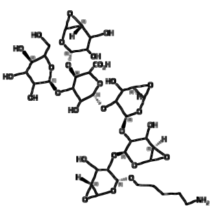 NCCCCCO[C@@H]1OC2O[C@@H]2C(O)C1O[C@@H]1OC2O[C@@H]2C(O)C1O[C@@H]1OC2O[C@@H]2C(O)C1O[C@H]1OC(C(=O)O)[C@H](O[C@@H]2OC3O[C@@H]3C(O)C2O)C(O[C@@H]2OC(CO)[C@H](O)C(O)C2O)C1O